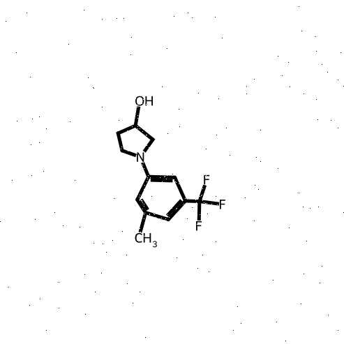 Cc1cc(N2CCC(O)C2)cc(C(F)(F)F)c1